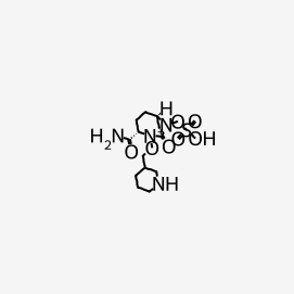 NC(=O)[C@@H]1CC[C@@H]2C[N+]1(OCC1CCCNC1)C(=O)N2OS(=O)(=O)O